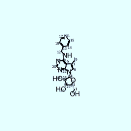 OC[C@H]1O[C@@H](n2cc(I)c3c(NCc4ccncc4)ncnc32)[C@@H](O)[C@H]1O